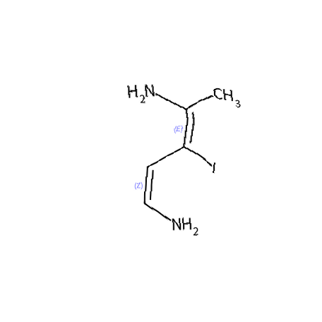 C/C(N)=C(I)/C=C\N